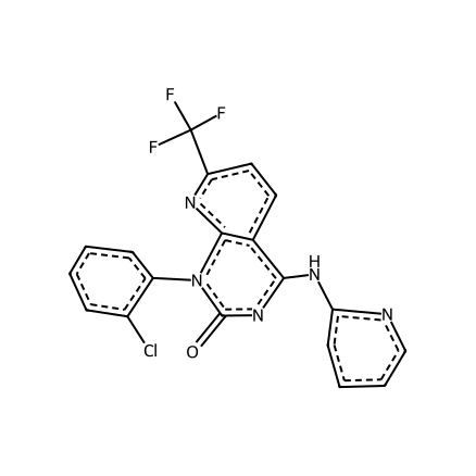 O=c1nc(Nc2ccccn2)c2ccc(C(F)(F)F)nc2n1-c1ccccc1Cl